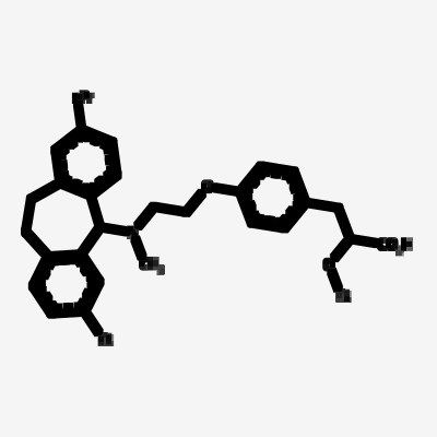 CCCc1ccc2c(c1)CCc1ccc(CC)cc1C2N(C)CCOc1ccc(CC(OCC)C(=O)O)cc1